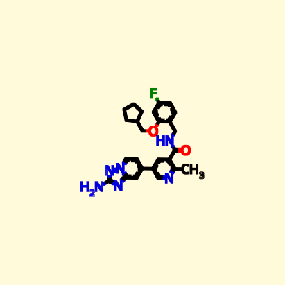 Cc1ncc(-c2ccn3nc(N)nc3c2)cc1C(=O)NCc1ccc(F)cc1OCC1CCCC1